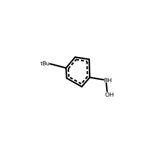 CC(C)(C)c1ccc(BO)cc1